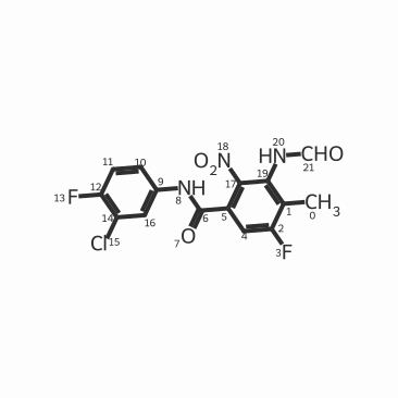 Cc1c(F)cc(C(=O)Nc2ccc(F)c(Cl)c2)c([N+](=O)[O-])c1NC=O